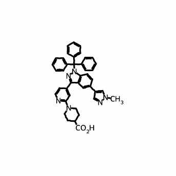 Cn1cc(-c2ccc3c(c2)c(-c2ccnc(N4CCC(C(=O)O)CC4)c2)nn3C(c2ccccc2)(c2ccccc2)c2ccccc2)cn1